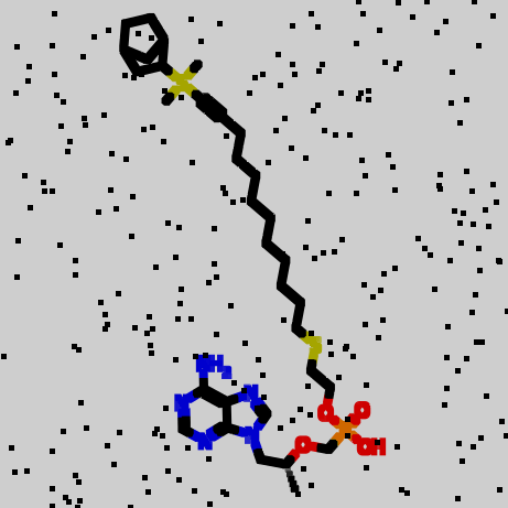 C[C@H](Cn1cnc2c(N)ncnc21)OCP(=O)(O)OCCSCCCCCCCCCCC#CS(C)(C)C1CC2CCC1C2